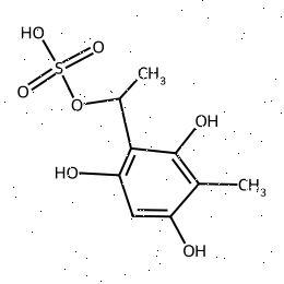 Cc1c(O)cc(O)c(C(C)OS(=O)(=O)O)c1O